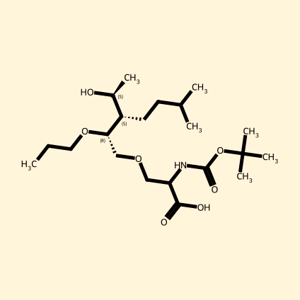 CCCO[C@@H](COCC(NC(=O)OC(C)(C)C)C(=O)O)[C@@H](CCC(C)C)[C@H](C)O